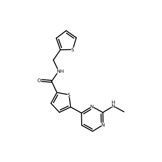 CNc1nccc(-c2ccc(C(=O)NCc3cccs3)s2)n1